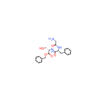 NCC(=O)N[C@@H](Cc1ccccc1)C(=O)N[C@@H](CO)C(=O)OCc1ccccc1